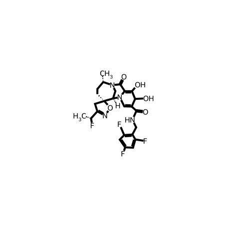 C[C@@H](F)C1=NO[C@@]2(CC[C@H](C)N3C[C@H]2N2C=C(C(=O)NCc4c(F)cc(F)cc4F)C(O)C(O)=C2C3=O)C1